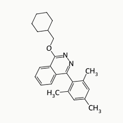 Cc1cc(C)c(-c2nnc(OCC3CCCCC3)c3ccccc23)c(C)c1